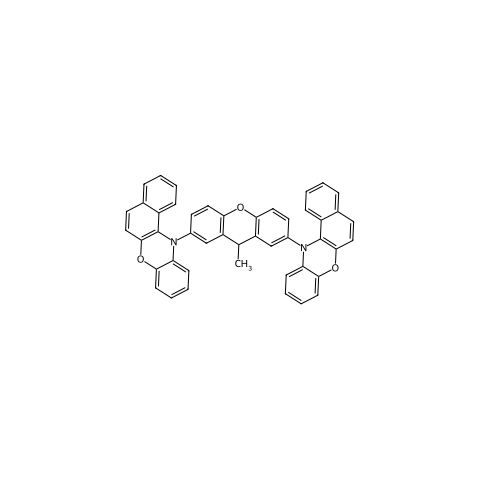 CC1c2cc(N3c4ccccc4Oc4ccc5ccccc5c43)ccc2Oc2ccc(N3c4ccccc4Oc4ccc5ccccc5c43)cc21